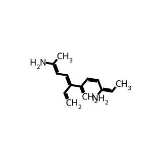 C=C/C(=C\C=C(/C)N)C(=C)/C=C\C(N)=C/C